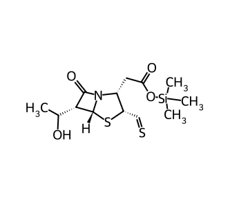 CC(O)[C@@H]1C(=O)N2[C@H](CC(=O)O[Si](C)(C)C)[C@H](C=S)S[C@H]12